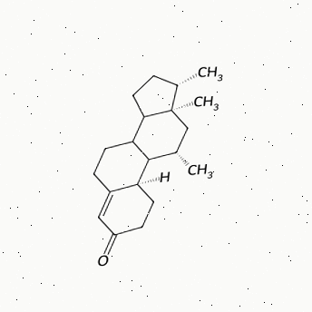 C[C@H]1C[C@@]2(C)C(CC[C@@H]2C)C2CCC3=CC(=O)CC[C@@H]3C21